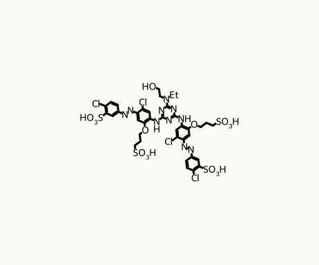 CCN(CCO)c1nc(Nc2cc(Cl)c(N=Nc3ccc(Cl)c(S(=O)(=O)O)c3)cc2OCCCS(=O)(=O)O)nc(Nc2cc(Cl)c(N=Nc3ccc(Cl)c(S(=O)(=O)O)c3)cc2OCCCS(=O)(=O)O)n1